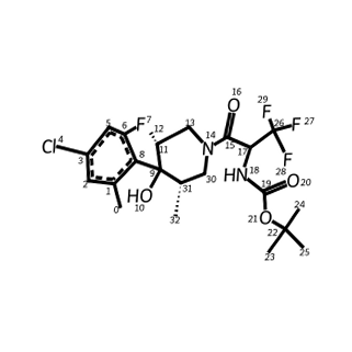 Cc1cc(Cl)cc(F)c1C1(O)[C@H](C)CN(C(=O)C(NC(=O)OC(C)(C)C)C(F)(F)F)C[C@@H]1C